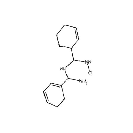 NC(NC(NCl)C1C=CCCC1)C1=CC=CCC1